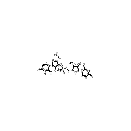 COC1C(O)[C@@H](COP(=O)(S)OC2C(OC)[C@H](n3ccc(=O)[nH]c3=O)O[C@@H]2CO)O[C@H]1n1ccc(=O)[nH]c1=O